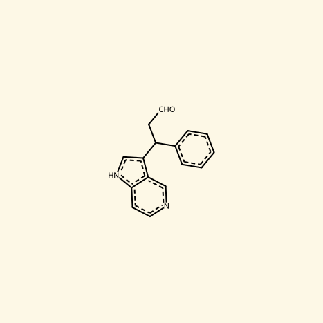 O=CCC(c1ccccc1)c1c[nH]c2ccncc12